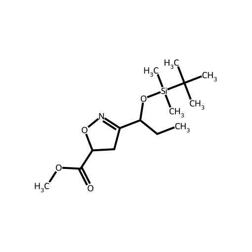 CCC(O[Si](C)(C)C(C)(C)C)C1=NOC(C(=O)OC)C1